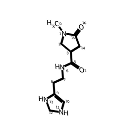 CN1CC(C(=O)NCCC2=CNCN2)CC1=O